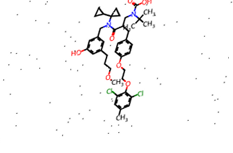 COCCCc1cc(O)cc(CN(C(=O)C(Cc2ccc(OCCOc3c(Cl)cc(C)cc3Cl)cc2)CN(C(=O)O)C(C)(C)C)C2(C3CC3)CC2)c1